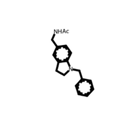 CC(=O)NCc1ccc2c(c1)CCN2Cc1ccccc1